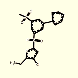 CS(=O)(=O)c1cc(-c2ccccc2)cc(S(=O)(=O)c2cc(Cl)c(CN)s2)c1